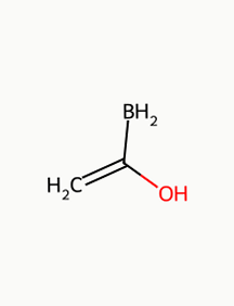 BC(=C)O